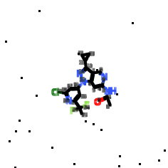 CC(=O)Nc1cc2c(cn1)c(C1CC1)nn2-c1cc(Cl)nc(C(C)(F)F)c1